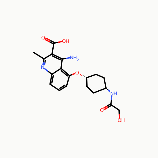 Cc1nc2cccc(O[C@H]3CC[C@H](NC(=O)CO)CC3)c2c(N)c1C(=O)O